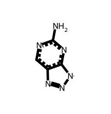 Nc1ncc2c(n1)[N]N=N2